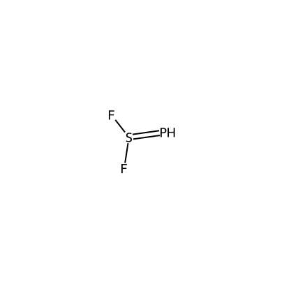 FS(F)=P